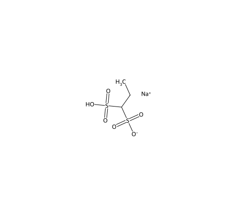 CCC(S(=O)(=O)[O-])S(=O)(=O)O.[Na+]